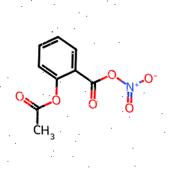 CC(=O)Oc1ccccc1C(=O)O[N+](=O)[O-]